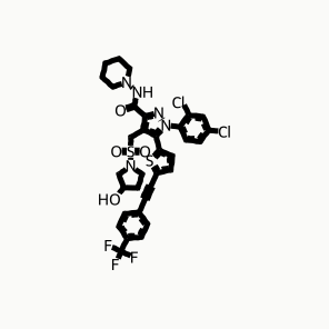 O=C(NN1CCCCC1)c1nn(-c2ccc(Cl)cc2Cl)c(-c2ccc(C#Cc3ccc(C(F)(F)F)cc3)s2)c1CS(=O)(=O)N1CCC(O)C1